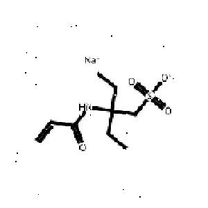 C=CC(=O)NC(CC)(CC)CS(=O)(=O)[O-].[Na+]